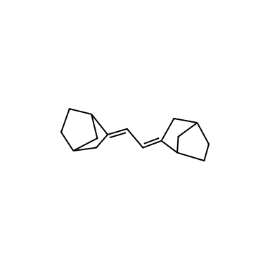 C(C=C1CC2CCC1C2)=C1CC2CCC1C2